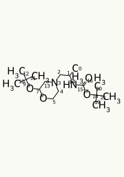 CC(CN1CCOC(OC(C)(C)C)C1)NC(=O)OC(C)(C)C